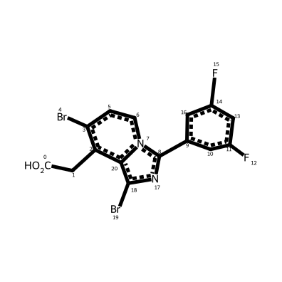 O=C(O)Cc1c(Br)ccn2c(-c3cc(F)cc(F)c3)nc(Br)c12